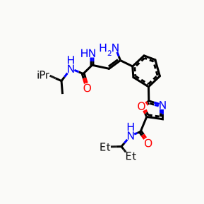 CCC(CC)NC(=O)c1cnc(-c2cccc(/C(N)=C/C(=N)C(=O)NC(C)C(C)C)c2)o1